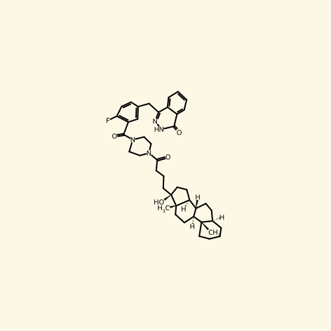 C[C@]12CCCC[C@@H]1CC[C@@H]1[C@@H]2CC[C@@]2(C)[C@H]1CC[C@@]2(O)CCCC(=O)N1CCN(C(=O)c2cc(Cc3n[nH]c(=O)c4ccccc34)ccc2F)CC1